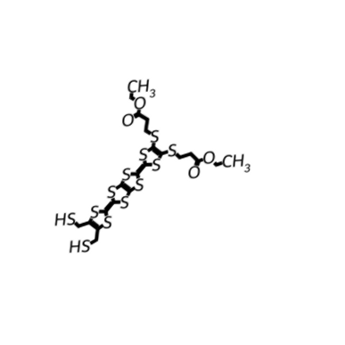 CCOC(=O)CCSC1=C(SCCC(=O)OCC)SC(=C2SC3=C(SC(=C4SC(CS)=C(CS)S4)S3)S2)S1